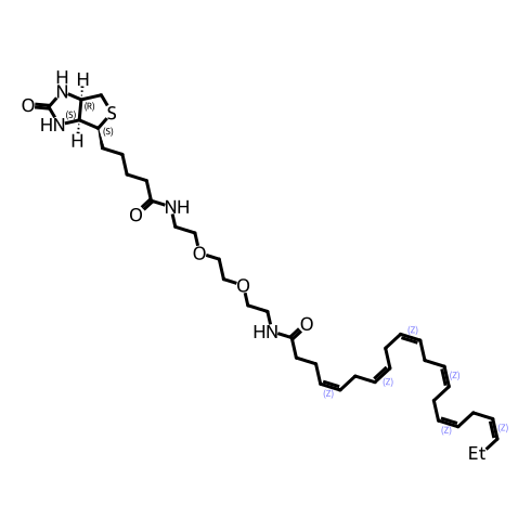 CC/C=C\C/C=C\C/C=C\C/C=C\C/C=C\C/C=C\CCC(=O)NCCOCCOCCNC(=O)CCCC[C@@H]1SC[C@@H]2NC(=O)N[C@@H]21